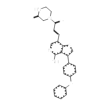 Nc1ncc(C=CC(=O)N2CCNC(=O)C2)c2scc(-c3ccc(Oc4ccccc4)cc3)c12